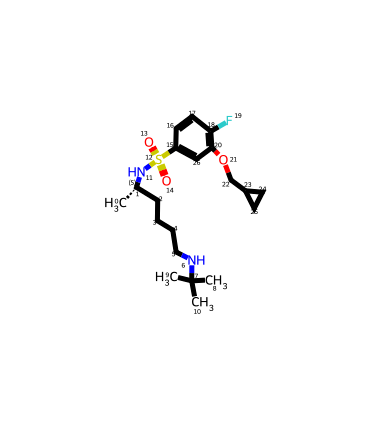 C[C@@H](CCCCNC(C)(C)C)NS(=O)(=O)c1ccc(F)c(OCC2CC2)c1